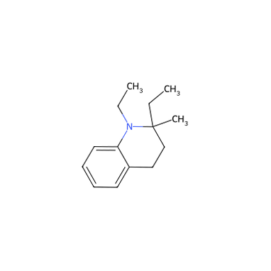 CCN1c2ccccc2CCC1(C)CC